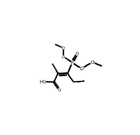 CCC(=C(C)C(=O)O)P(=O)(OOC)OOC